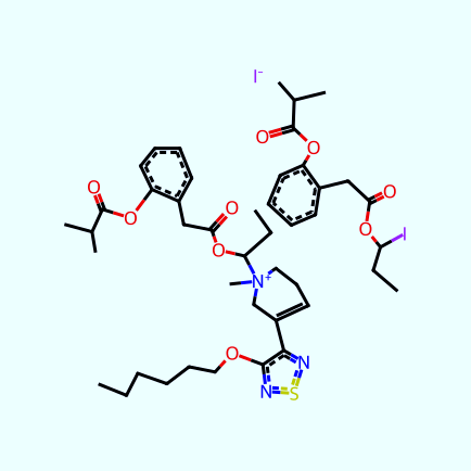 CCC(I)OC(=O)Cc1ccccc1OC(=O)C(C)C.CCCCCCOc1nsnc1C1=CCC[N+](C)(C(CC)OC(=O)Cc2ccccc2OC(=O)C(C)C)C1.[I-]